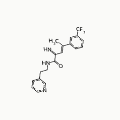 C/C(=C\C(=N)C(=O)NCCc1cccnc1)c1cccc(C(F)(F)F)c1